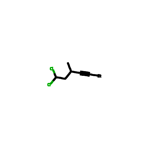 [CH2]CC#CC(C)CC(Cl)Cl